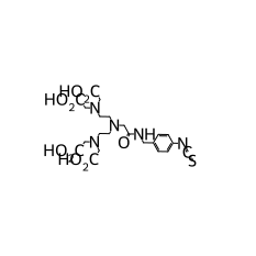 O=C(O)CN(CCN(CCN(CC(=O)O)CC(=O)O)CC(=O)NCc1ccc(N=C=S)cc1)CC(=O)O